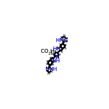 CC(=O)O.c1cc2cc(-c3ccc(-c4cc5ccc(C6=NCCCN6)cc5[nH]4)nc3)[nH]c2cc1C1=NCCCN1